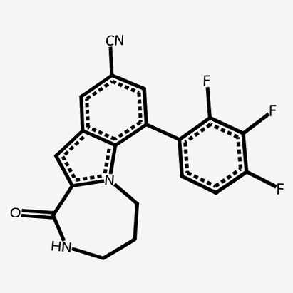 N#Cc1cc(-c2ccc(F)c(F)c2F)c2c(c1)cc1n2CCCNC1=O